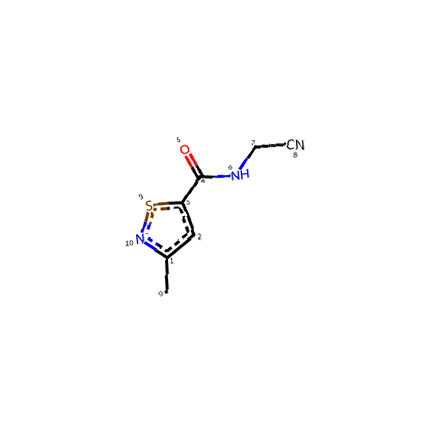 Cc1cc(C(=O)NCC#N)sn1